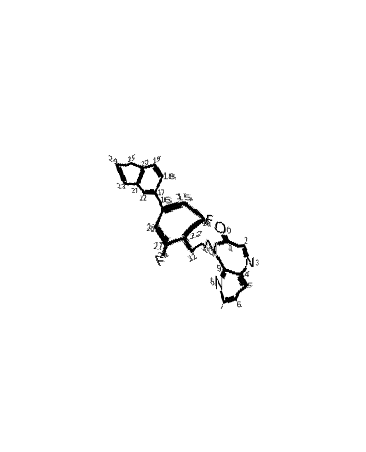 O=c1cnc2cccnc2n1Cc1c(F)cc(-c2ccc3c(c2)C=CC3)cc1F